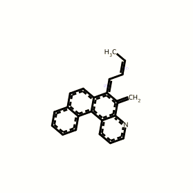 C=c1/c(=C\C=C/C)c2ccc3ccccc3c2c2cccnc12